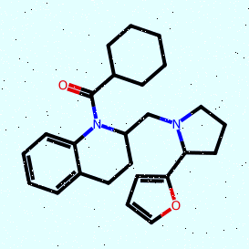 O=C(C1CCCCC1)N1c2ccccc2CCC1CN1CCCC1c1ccco1